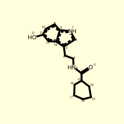 O=C(NCCc1c[nH]c2ccc(O)cc12)C1CCCCC1